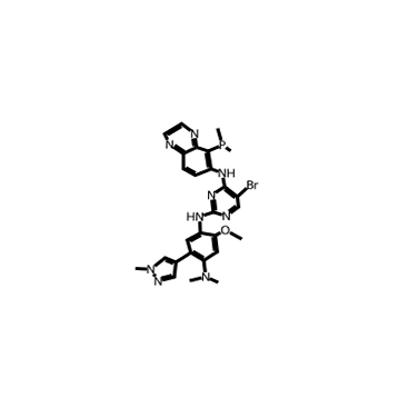 COc1cc(N(C)C)c(-c2cnn(C)c2)cc1Nc1ncc(Br)c(Nc2ccc3nccnc3c2P(C)C)n1